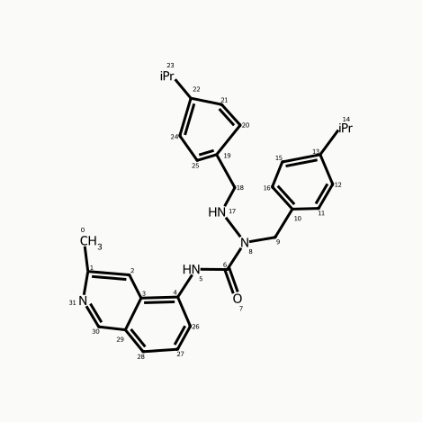 Cc1cc2c(NC(=O)N(Cc3ccc(C(C)C)cc3)NCc3ccc(C(C)C)cc3)cccc2cn1